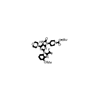 COc1cccc2c1nc(C(F)F)n2-c1nc(N2CCOCC2)c2[nH]c(=O)n(C3CCN(C(=O)OC(C)(C)C)CC3)c2n1